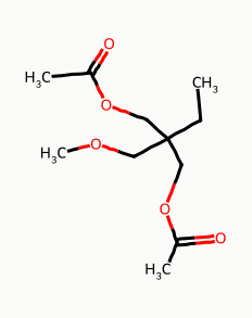 CCC(COC)(COC(C)=O)COC(C)=O